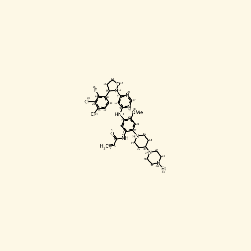 C=CC(=O)Nc1cc(Nc2cc(N3OCCC3c3ccc(Cl)c(Cl)c3F)ncn2)c(OC)cc1N1CCC(N2CCN(CC)CC2)CC1